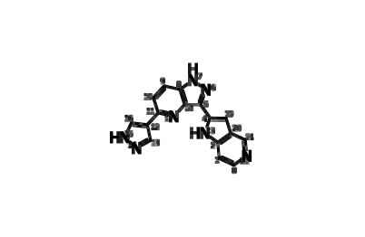 c1cc2[nH]c(-c3n[nH]c4ccc(-c5cn[nH]c5)nc34)cc2cn1